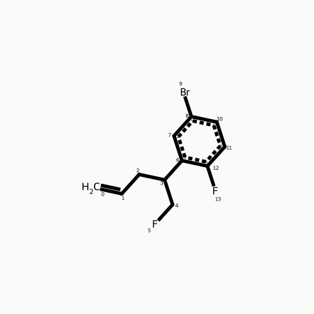 C=CCC(CF)c1cc(Br)ccc1F